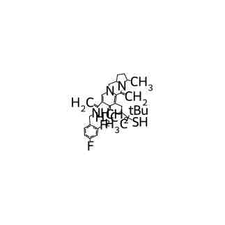 C=C(NCc1ccc(F)cc1F)C1=CN2CC3CCC(C)N3C(=C)C2=C(CC(=C)C(C)(S)C(C)(C)C)C1=C